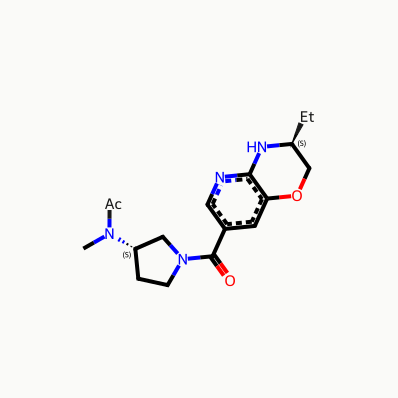 CC[C@H]1COc2cc(C(=O)N3CC[C@H](N(C)C(C)=O)C3)cnc2N1